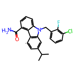 CC(C)c1c[c]c2c3c(C(N)=O)cccc3n(Cc3cccc(Cl)c3F)c2c1